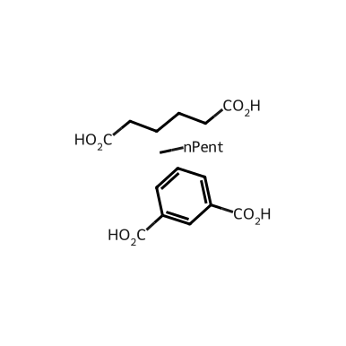 CCCCCC.O=C(O)CCCCC(=O)O.O=C(O)c1cccc(C(=O)O)c1